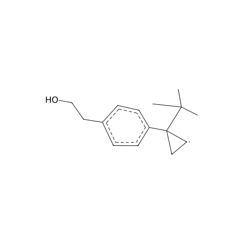 CC(C)(C)C1(c2ccc(CCO)cc2)[CH]C1